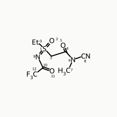 CCS(=O)(CC(=O)N(C)C#N)=NC(=O)C(F)(F)F